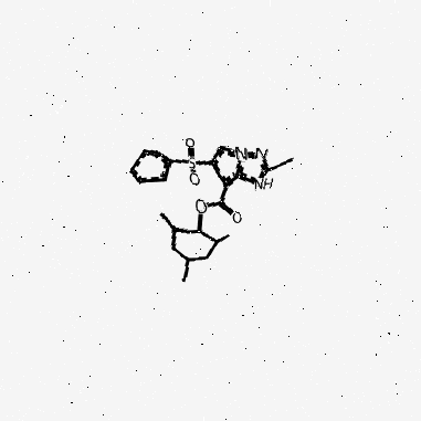 Cc1nn2cc(S(=O)(=O)c3ccccc3)c(C(=O)OC3C(C)CC(C)CC3C)c2[nH]1